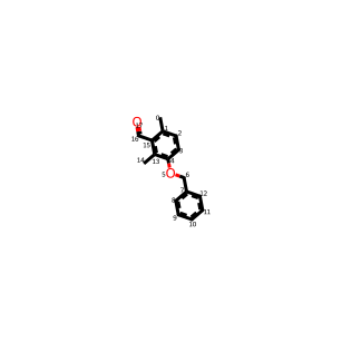 Cc1ccc(OCc2ccccc2)c(C)c1C=O